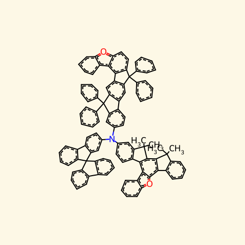 CC1(C)c2ccccc2-c2c1c1c(c3c2oc2ccccc23)-c2ccc(N(c3ccc4c(c3)C(c3ccccc3)(c3ccccc3)c3cc5c(cc3-4)C(c3ccccc3)(c3ccccc3)c3ccc4oc6ccccc6c4c3-5)c3ccc4c(c3)C3(c5ccccc5-c5ccccc53)c3ccccc3-4)cc2C1(C)C